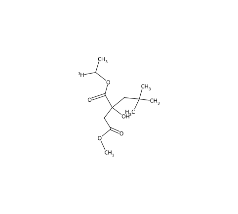 [3H]C(C)OC(=O)C(O)(CC(=O)OC)CC(C)(C)C